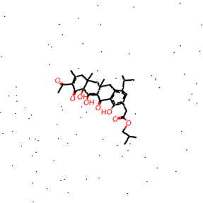 CC(=O)C1=C(C)CC2(C)CC3(C)Cc4c(C(C)C)cc(CC(=O)OCC(C)C)c(O)c4C(=O)C3=C(O)C2(O)C1=O